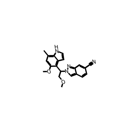 COCC(c1c(OC)cc(C)c2[nH]ccc12)n1cc2ccc(C#N)cc2n1